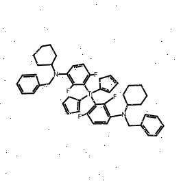 Fc1ccc(N(Cc2ccccc2)C2CCCCC2)c(F)[c]1[Ti]([C]1=CC=CC1)([C]1=CC=CC1)[c]1c(F)ccc(N(Cc2ccccc2)C2CCCCC2)c1F